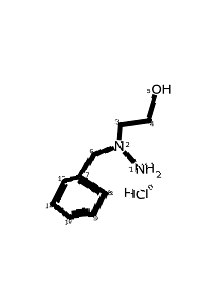 Cl.NN(CCO)Cc1ccccc1